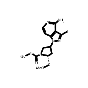 COC[C@H]1CC(n2nc(I)c3c(N)nccc32)CN1C(=O)OC(C)(C)C